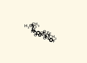 C[C@H](N(Cc1ccc(F)cc1)C(=O)CN1C[C@]2(CCC3=C2C=CC(c2cnn(CC(=O)N(C)C)c2)C3=O)OC1=O)C(F)(F)F